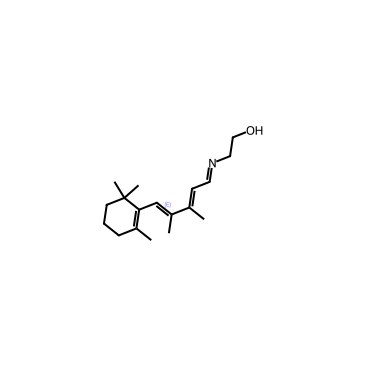 CC(=CC=NCCO)/C(C)=C/C1=C(C)CCCC1(C)C